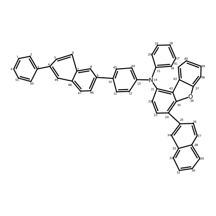 c1ccc(-c2ccc3cc(-c4ccc(N(c5ccccc5)c5ccc(-c6ccc7ccccc7c6)c6oc7ccccc7c56)cc4)ccc3c2)cc1